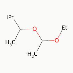 [CH2]C(OCC)OC(C)C(C)C